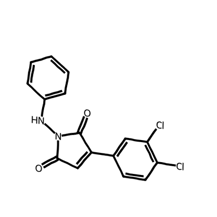 O=C1C=C(c2ccc(Cl)c(Cl)c2)C(=O)N1Nc1ccccc1